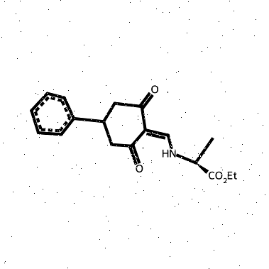 CCOC(=O)[C@H](C)NC=C1C(=O)CC(c2ccccc2)CC1=O